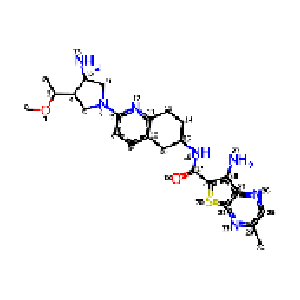 COC(C)C1CN(c2ccc3c(n2)CCC(NC(=O)c2sc4nc(C)cnc4c2N)C3)CC1N